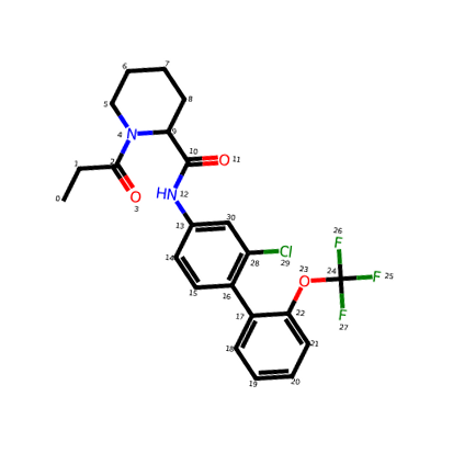 CCC(=O)N1CCCCC1C(=O)Nc1ccc(-c2ccccc2OC(F)(F)F)c(Cl)c1